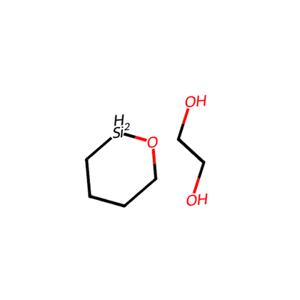 C1CC[SiH2]OC1.OCCO